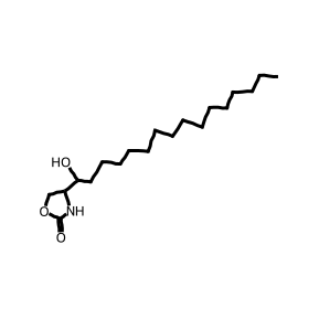 CCCCCCCCCCCCCCCC(O)C1COC(=O)N1